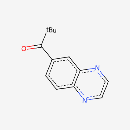 CC(C)(C)C(=O)c1ccc2nccnc2c1